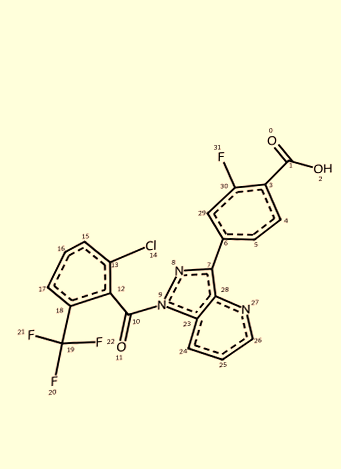 O=C(O)c1ccc(-c2nn(C(=O)c3c(Cl)cccc3C(F)(F)F)c3cccnc23)cc1F